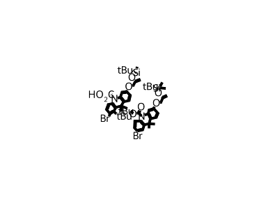 C=C(COc1ccc2c(c1)N(C(=O)O)c1ccc(Br)c(C(C)(C)C)c1C2(C)C)O[Si](C)(C)C(C)(C)C.C=C(COc1ccc2c(c1)N(C(=O)OC(C)(C)C)c1ccc(Br)cc1C2(C)C)O[Si](C)(C)C(C)(C)C